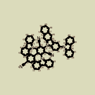 N#Cc1ccc(-c2c(-n3c4ccccc4c4ccccc43)c(C#N)c(-n3c4ccc(-n5c6ccccc6c6ccccc65)cc4c4cc5ccccc5cc43)c(C#N)c2-n2c3ccccc3c3ccccc32)cc1